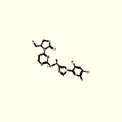 C[C@H](Nc1nccc(N2C(=O)OC[C@@H]2CF)n1)c1cn(-c2cc(F)c(Cl)cc2F)cn1